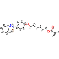 C=C(C)C(=O)OCCCCCCOc1ccc(-c2nc3ccccc3s2)cc1